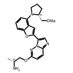 COC[C@H]1CCCN1c1cccc2oc(-c3cnc4ccc(OC[C@@H](C)N)nn34)cc12